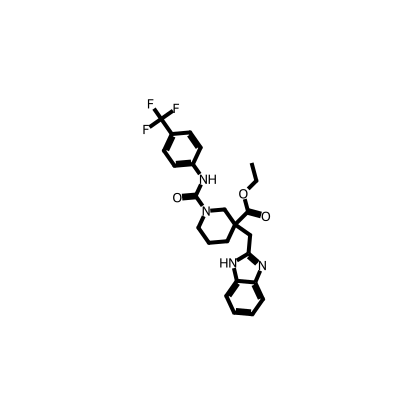 CCOC(=O)C1(Cc2nc3ccccc3[nH]2)CCCN(C(=O)Nc2ccc(C(F)(F)F)cc2)C1